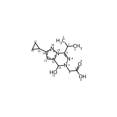 CC(C)C1=NN(CC(=O)O)C(O)c2cc(C3CC3)nn21